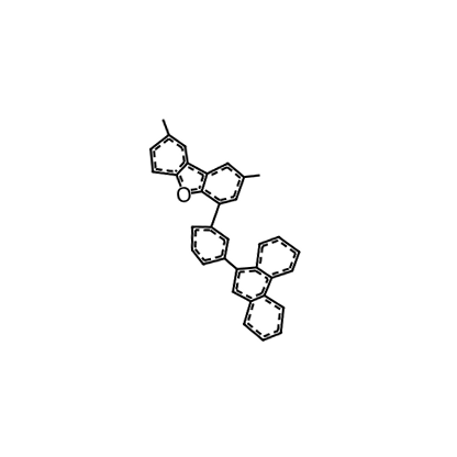 Cc1ccc2oc3c(-c4cccc(-c5cc6ccccc6c6ccccc56)c4)cc(C)cc3c2c1